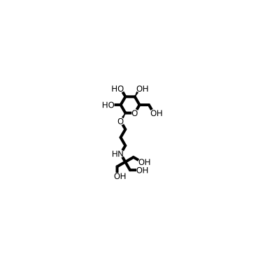 OCC1O[C@@H](OCCCNC(CO)(CO)CO)C(O)C(O)[C@H]1O